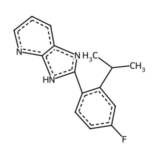 CC(C)c1cc(F)ccc1-c1nc2cccnc2[nH]1